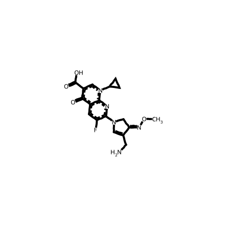 CO/N=C1\CN(c2nc3c(cc2F)c(=O)c(C(=O)O)cn3C2CC2)C=C1CN